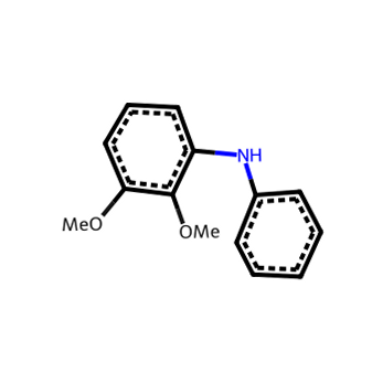 COc1cccc(Nc2ccccc2)c1OC